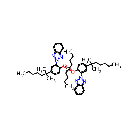 CCCCCC(C)(C)c1ccc([O][Sn]([CH2]CCC)([CH2]CCC)[O]c2ccc(C(C)(C)CCCCC)cc2-n2nc3ccccc3n2)c(-n2nc3ccccc3n2)c1